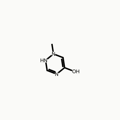 CN1C=C(O)N=CN1